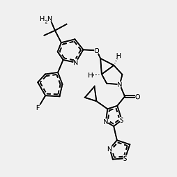 CC(C)(N)c1cc(OC2[C@H]3CN(C(=O)c4sc(-c5cscn5)nc4C4CC4)C[C@@H]23)nc(-c2ccc(F)cc2)c1